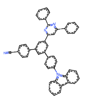 N#Cc1ccc(-c2cc(-c3ccc(-n4c5ccccc5c5ccccc54)cc3)cc(-c3cc(-c4ccccc4)nc(-c4ccccc4)n3)c2)cc1